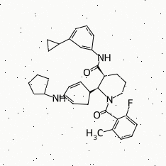 Cc1cccc(F)c1C(=O)N1CCC[C@H](C(=O)Nc2cccc(C3CC3)c2)[C@@H]1C1C=CC(NC2CCCC2)=CC1